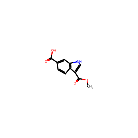 COC(=O)c1c[nH]c2cc(C(=O)O)ccc12